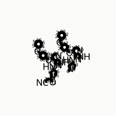 CN1CC[C@@H](Nc2n[nH]c3nccc(Oc4ccc(Oc5ccccc5)cc4)c23)C1.N#CCC(=O)N1CC[C@@H](Nc2n[nH]c3nccc(Oc4ccc(Oc5ccccc5)cc4)c23)C1